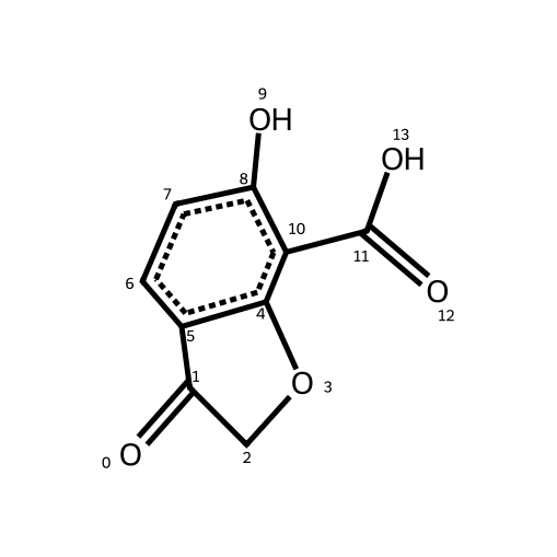 O=C1COc2c1ccc(O)c2C(=O)O